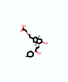 C[C@H]1CC[C@H](C(O)C=C[C@@H]2[C@@H]3CC(CCSCC(=O)O)C[C@@H]3C[C@H]2O)CC1